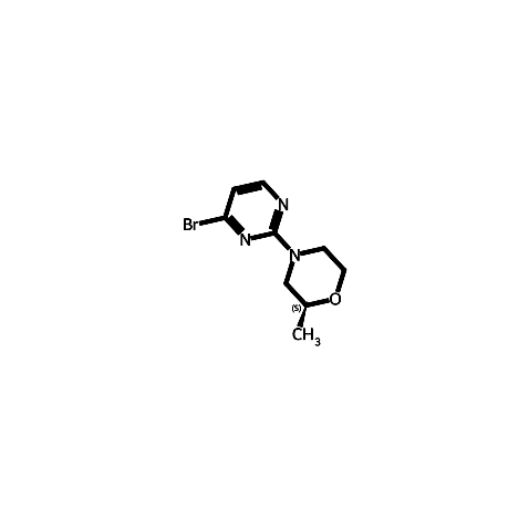 C[C@H]1CN(c2nccc(Br)n2)CCO1